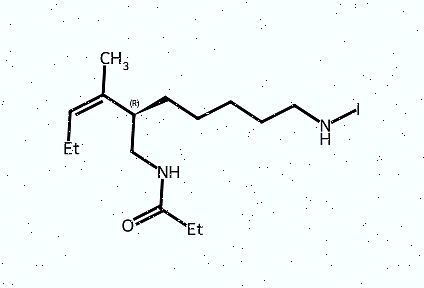 CCC=C(C)[C@@H](CCCCCNI)CNC(=O)CC